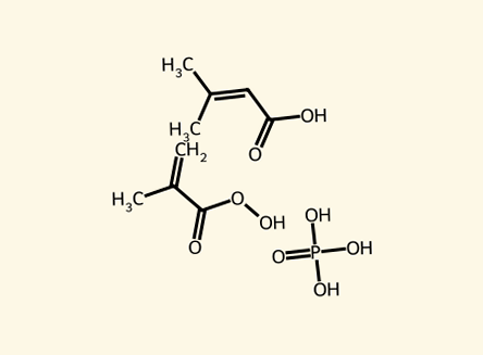 C=C(C)C(=O)OO.CC(C)=CC(=O)O.O=P(O)(O)O